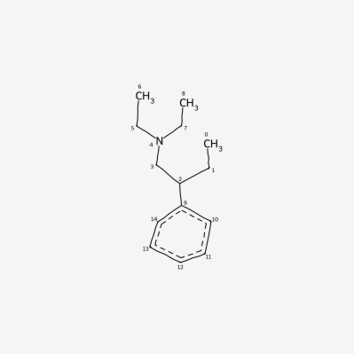 CCC(CN(CC)CC)c1ccccc1